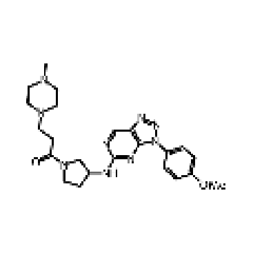 COc1ccc(-n2nnc3cnc(NC4CCN(C(=O)CCN5CCN(C)CC5)C4)nc32)cc1